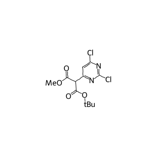 COC(=O)C(C(=O)OC(C)(C)C)c1cc(Cl)nc(Cl)n1